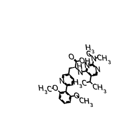 COc1cccc(OC)c1-c1ccc(C[C@H](Nc2nc(N(C)C)ncc2C(C)C)C(=O)O)cn1